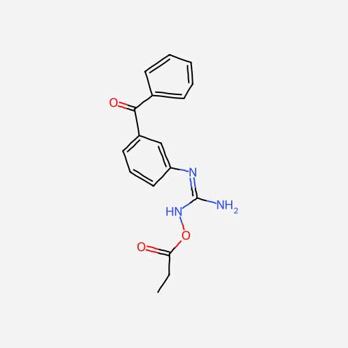 CCC(=O)ONC(N)=Nc1cccc(C(=O)c2ccccc2)c1